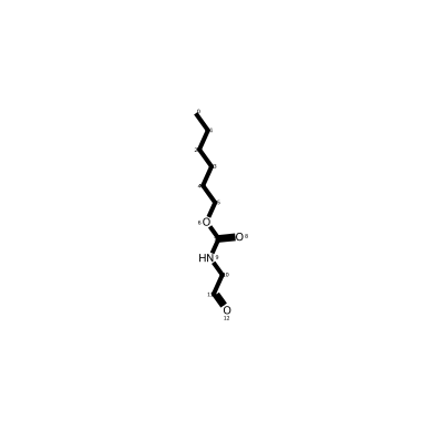 CCCCCCOC(=O)NCC=O